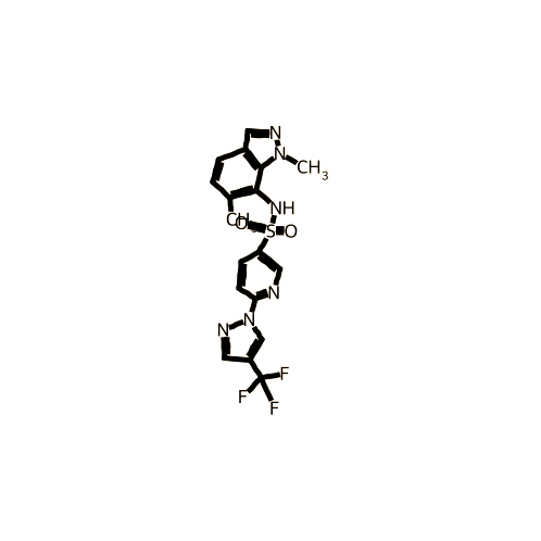 Cc1ccc2cnn(C)c2c1NS(=O)(=O)c1ccc(-n2cc(C(F)(F)F)cn2)nc1